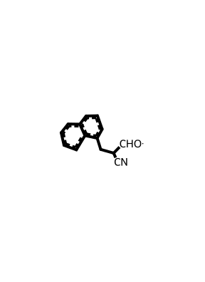 N#CC([C]=O)Cc1cccc2ccccc12